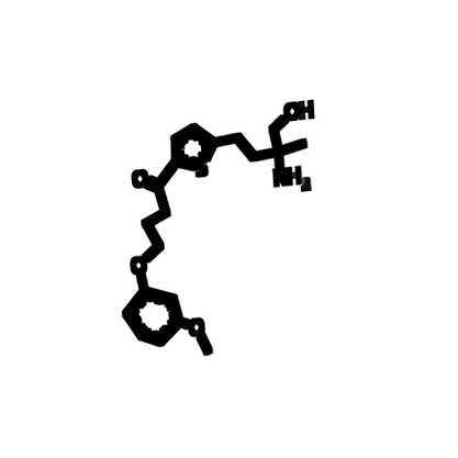 COc1cccc(OCCCC(=O)c2ccc(CCC(C)(N)CO)s2)c1